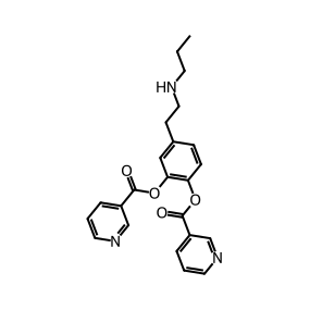 CCCNCCc1ccc(OC(=O)c2cccnc2)c(OC(=O)c2cccnc2)c1